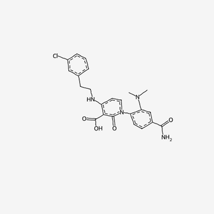 CN(C)c1cc(C(N)=O)ccc1-n1ccc(NCCc2cccc(Cl)c2)c(C(=O)O)c1=O